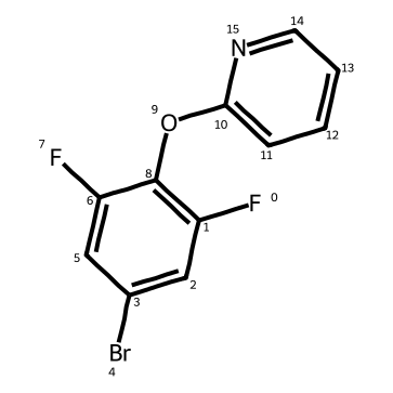 Fc1cc(Br)cc(F)c1Oc1ccccn1